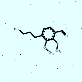 CCCCc1ccc(C=O)c(O[SiH3])c1OC